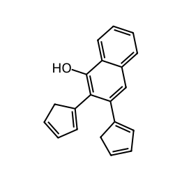 Oc1c(C2=CC=CC2)c(C2=CC=CC2)cc2ccccc12